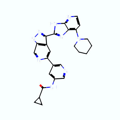 O=C(Nc1cncc(-c2cc3c(-c4nc5c(N6CCCCC6)ccnc5[nH]4)n[nH]c3cn2)c1)C1CC1